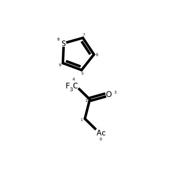 CC(=O)CC(=O)C(F)(F)F.c1ccsc1